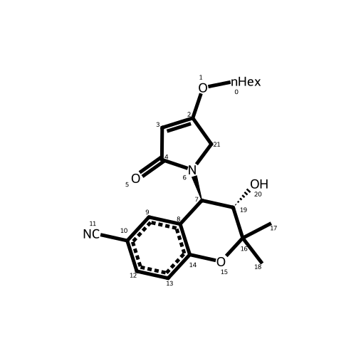 CCCCCCOC1=CC(=O)N([C@@H]2c3cc(C#N)ccc3OC(C)(C)[C@H]2O)C1